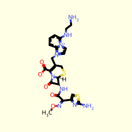 CO/N=C(\C(=O)N[C@@H]1C(=O)N2C(C(=O)[O-])=C(Cn3cc[n+]4c(NCCN)cccc34)CS[C@@H]12)c1csc(N)n1